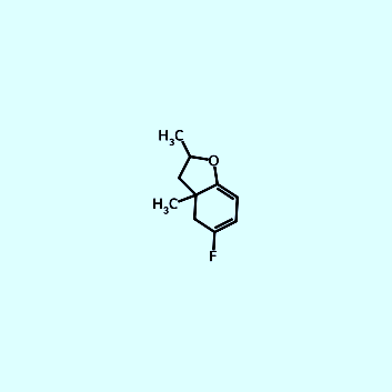 CC1CC2(C)CC(F)=CC=C2O1